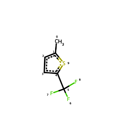 Cc1ccc(C(F)(F)F)s1